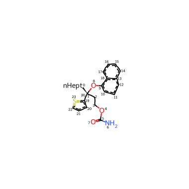 CCCCCCC[C@](CCOC(N)=O)(Oc1cccc2ccccc12)c1cccs1